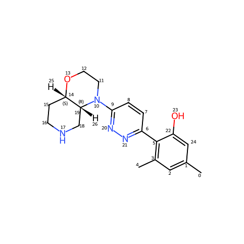 Cc1cc(C)c(-c2ccc(N3CCO[C@H]4CCNC[C@H]43)nn2)c(O)c1